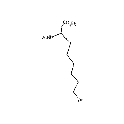 CCOC(=O)C(CCCCCCBr)NC(C)=O